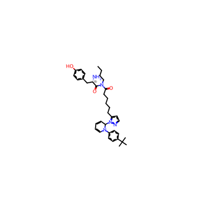 CCCCN(C(=O)CCCCCc1ccnn1C1C=CC=CN1c1ccc(C(C)(C)C)cc1)C(=O)[C@@H](N)Cc1ccc(O)cc1